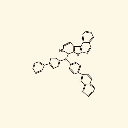 C1=Cc2c(sc3ccc4ccccc4c23)C(N(c2ccc(-c3ccccc3)cc2)c2ccc(-c3ccc4ccccc4c3)cc2)N1